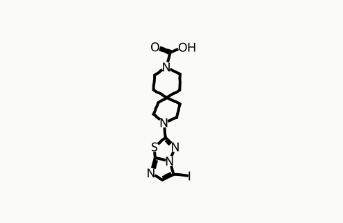 O=C(O)N1CCC2(CC1)CCN(c1nn3c(I)cnc3s1)CC2